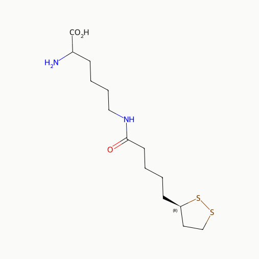 NC(CCCCNC(=O)CCCC[C@@H]1CCSS1)C(=O)O